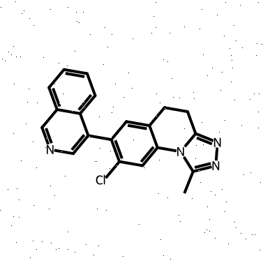 Cc1nnc2n1-c1cc(Cl)c(-c3cncc4ccccc34)cc1CC2